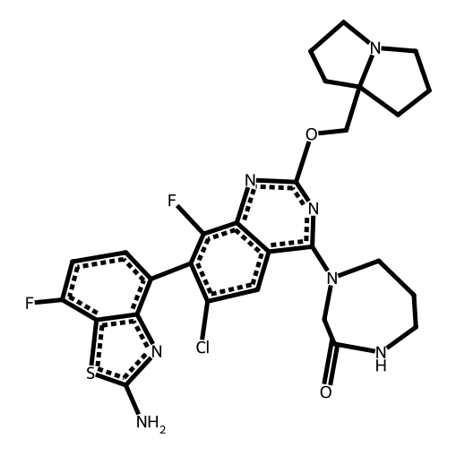 Nc1nc2c(-c3c(Cl)cc4c(N5CCCNC(=O)C5)nc(OCC56CCCN5CCC6)nc4c3F)ccc(F)c2s1